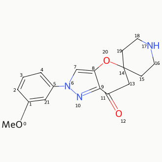 COc1cccc(-n2cc3c(n2)C(=O)CC2(CCNCC2)O3)c1